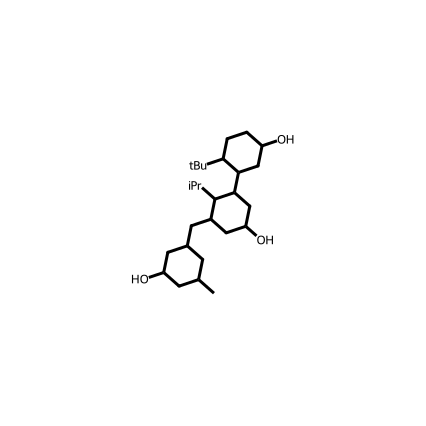 CC1CC(O)CC(CC2CC(O)CC(C3CC(O)CCC3C(C)(C)C)C2C(C)C)C1